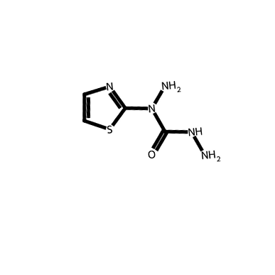 NNC(=O)N(N)c1nccs1